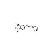 CCc1cc(OCCN2CCOCC2)ccc1C(F)F